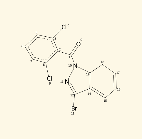 O=C(c1c(Cl)cccc1Cl)N1N=C(Br)C2=CC=CCC21